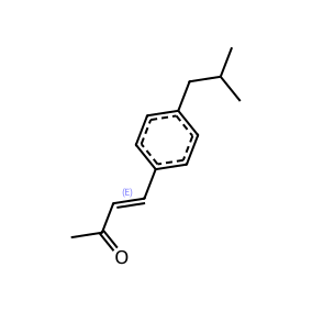 CC(=O)/C=C/c1ccc(CC(C)C)cc1